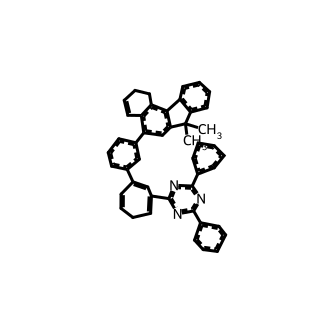 CC1(C)c2ccccc2-c2c1cc(-c1cccc(C3=CC(c4nc(-c5ccccc5)nc(-c5ccccc5)n4)=CCC=C3)c1)c1c2CCC=C1